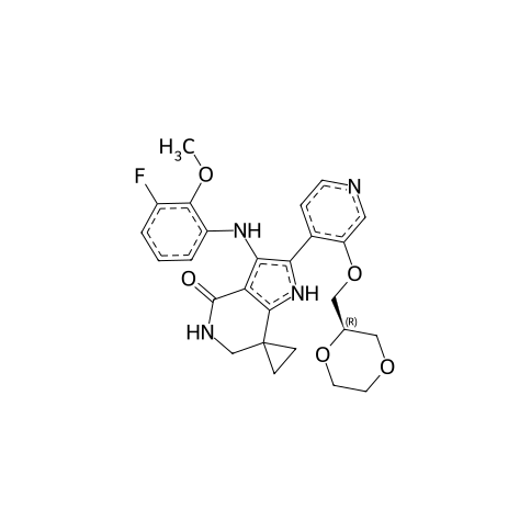 COc1c(F)cccc1Nc1c(-c2ccncc2OC[C@H]2COCCO2)[nH]c2c1C(=O)NCC21CC1